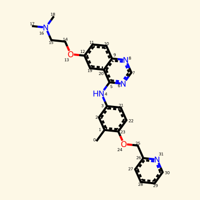 Cc1cc(Nc2ncnc3ccc(OCCN(C)C)cc23)ccc1OCc1ccccn1